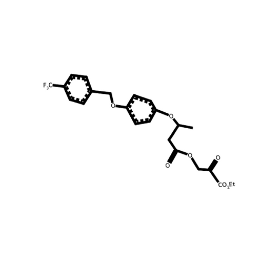 CCOC(=O)C(=O)COC(=O)CC(C)Oc1ccc(OCc2ccc(C(F)(F)F)cc2)cc1